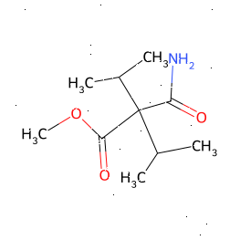 COC(=O)C(C(N)=O)(C(C)C)C(C)C